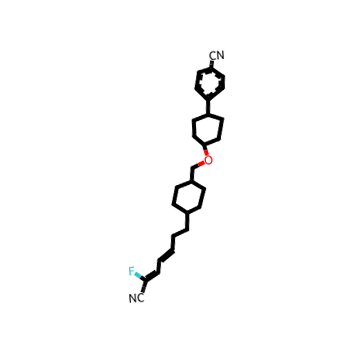 N#CC(F)=CC=CCCC1CCC(COC2CCC(c3ccc(C#N)cc3)CC2)CC1